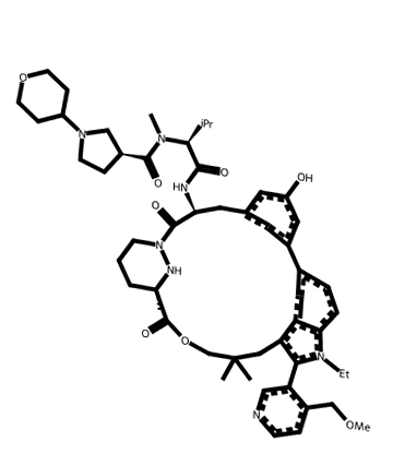 CCn1c(-c2cnccc2COC)c2c3cc(ccc31)-c1cc(O)cc(c1)C[C@H](NC(=O)[C@H](C(C)C)N(C)C(=O)[C@H]1CCN(C3CCOCC3)C1)C(=O)N1CCC[C@@](C)(N1)C(=O)OCC(C)(C)C2